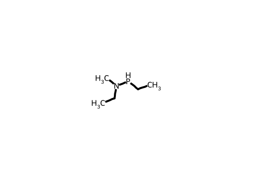 CCPN(C)CC